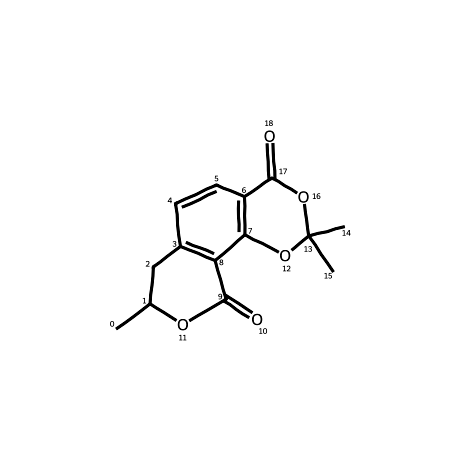 CC1Cc2ccc3c(c2C(=O)O1)OC(C)(C)OC3=O